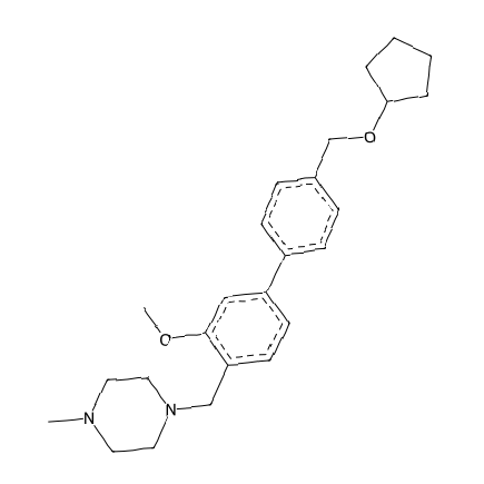 COc1cc(-c2ccc(COC3CCCC3)cc2)ccc1CN1CCN(C)CC1